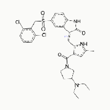 CCN(CC)C1CCN(C(=O)c2cc(C)[nH]c2/C=C2\C(=O)Nc3ccc(S(=O)(=O)Cc4c(Cl)cccc4Cl)cc32)C1